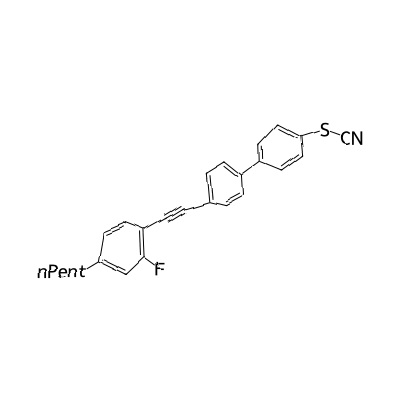 CCCCCc1ccc(C#Cc2ccc(-c3ccc(SC#N)cc3)cc2)c(F)c1